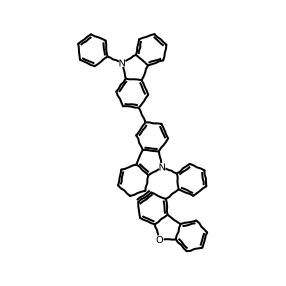 c1cc2oc3ccccc3c2c(-c2ccccc2-n2c3c(c4cc(-c5ccc6c(c5)c5ccccc5n6-c5ccccc5)ccc42)C=CCC3)c#1